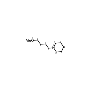 COCCCCN1CCCCC1